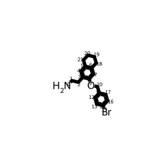 NCCc1cc2c(cc1OCc1ccc(Br)cc1)CCCC2